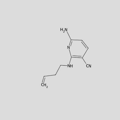 C=CCCNc1nc(N)ccc1C#N